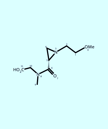 COCCN1C[C@H]1C(=O)N(C)CC(=O)O